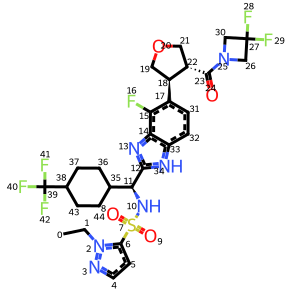 CCn1nccc1S(=O)(=O)N[C@H](c1nc2c(F)c([C@H]3COC[C@@H]3C(=O)N3CC(F)(F)C3)ccc2[nH]1)C1CCC(C(F)(F)F)CC1